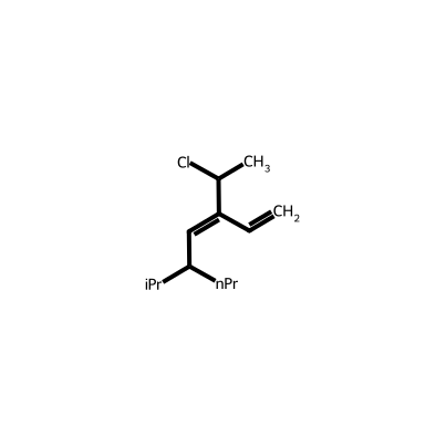 C=C/C(=C\C(CCC)C(C)C)C(C)Cl